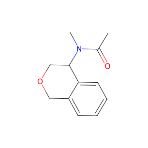 CC(=O)N(C)C1COCc2ccccc21